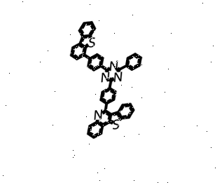 c1ccc(-c2nc(-c3ccc(-c4cccc5c4sc4ccccc45)cc3)nc(-c3ccc(-c4nc5ccccc5c5sc6ccccc6c45)cc3)n2)cc1